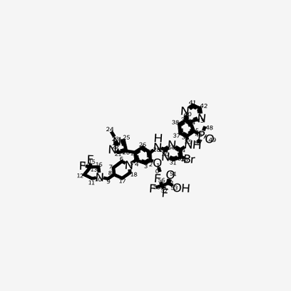 COc1cc(N2CCC(CN3CCC(F)(F)C3)CC2)c(-c2cnn(C)c2)cc1Nc1ncc(Br)c(Nc2ccc3nccnc3c2P(C)(C)=O)n1.O=C(O)C(F)(F)F